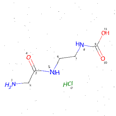 Cl.NCC(=O)NCCNC(=O)O